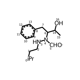 CC(C)CCNN([C]=O)C(Cc1ccccc1)C(C)O